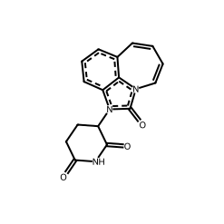 O=C1CCC(n2c(=O)n3c4c(cccc42)C=CC=C3)C(=O)N1